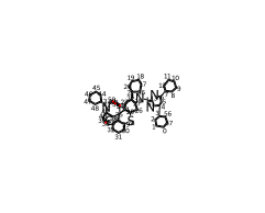 c1ccc(-c2cc(-c3ccccc3)nc(-n3c4ccccc4c4cc5c(cc43)Sc3ccccc3C53c4ccccc4N(c4ccccc4)c4ccccc43)n2)cc1